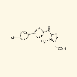 Cn1c(CC(=O)O)ccc1C(=O)c1ccc(-c2ccc(Cl)cc2)cc1